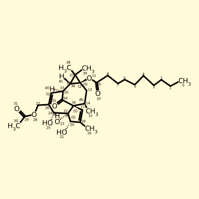 CCCCCCCCCC(=O)O[C@@]12C[C@@H](C)[C@]34C=C(C)[C@H](O)[C@@]3(O)[C@H](O)C(COC(C)=O)=C[C@H](C4=O)[C@@H]1C2(C)C